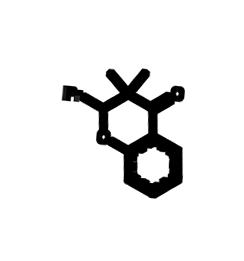 CC(C)C1Oc2ccccc2C(=O)C1(C)C